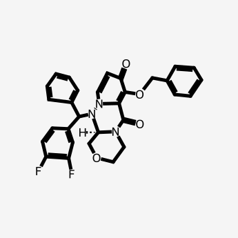 O=C1c2c(OCc3ccccc3)c(=O)ccn2N(C(c2ccccc2)c2ccc(F)c(F)c2)[C@@H]2COCCN12